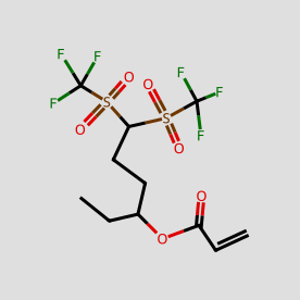 C=CC(=O)OC(CC)CCC(S(=O)(=O)C(F)(F)F)S(=O)(=O)C(F)(F)F